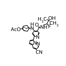 CC(=O)OC12CCC(Nc3cc(-c4ccc5cc(C#N)cnn45)ncc3C(=O)NCC(F)C(C)(C)O)(CC1)CC2